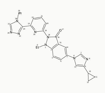 CCn1c2ccc(-n3cnc(C4CC4)c3)cc2c(=O)n1-c1cccc(-c2nncn2C(C)C)n1